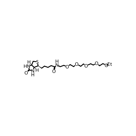 [CH2]COCCOCCOCCOCCOCCNC(=O)CCCC[C@@H]1SC[C@@H]2NC(=O)N[C@@H]21